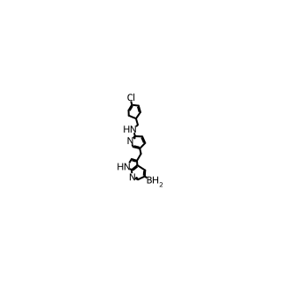 Bc1cnc2[nH]cc(Cc3ccc(NCC4C=CC(Cl)=CC4)nc3)c2c1